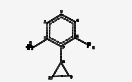 C[C](C)c1cccc(F)c1C1CC1